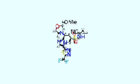 COC[C@@H]1CN(c2cc(S(=O)(=O)NC3(C#N)CC3)cn3c(-c4nnc(C(F)F)s4)cnc23)[C@@H](C)CO1